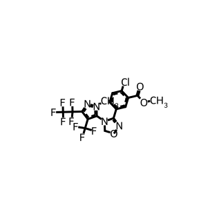 COC(=O)c1cc(C2=NOCN2c2c(C(F)(F)F)c(C(F)(F)C(F)(F)F)nn2C)ccc1Cl